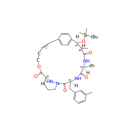 Cc1cccc(C[C@@H]2NC(=O)[C@H](C(C)C)NC(=O)[C@H](C)[C@H](O[Si](C)(C)C(C)(C)C)c3ccc(cc3)/C=C/CCOC(=O)[C@@H]3CCCN(N3)C2=O)c1